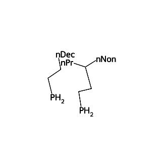 CCCCCCCCCC(CCC)CCP.CCCCCCCCCCCCP